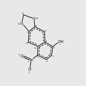 O=[N+]([O-])c1ccc(O)c2cc3c(cc12)OCO3